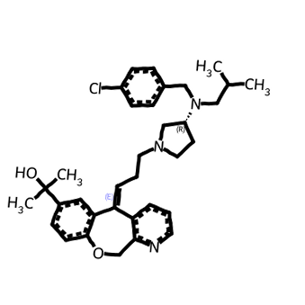 CC(C)CN(Cc1ccc(Cl)cc1)[C@@H]1CCN(CC/C=C2/c3cc(C(C)(C)O)ccc3OCc3ncccc32)C1